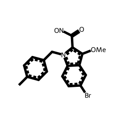 COc1c(C(=O)N=O)n(Cc2ccc(C)cc2)c2ccc(Br)cc12